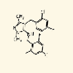 Cc1nn(C)c(NCc2c(F)cc(Cl)cc2F)c1Cc1ccc(F)cc1Cl